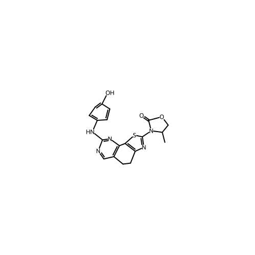 CC1COC(=O)N1c1nc2c(s1)-c1nc(Nc3ccc(O)cc3)ncc1CC2